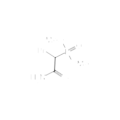 COP(=O)(OC)C(Br)C(N)=O